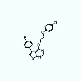 Fc1ccc(-c2csc3ncnc(OCCCOc4ccc(Cl)cc4)c23)cc1